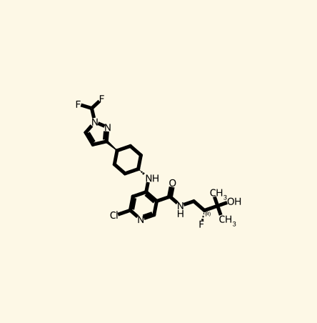 CC(C)(O)[C@H](F)CNC(=O)c1cnc(Cl)cc1N[C@H]1CC[C@H](c2ccn(C(F)F)n2)CC1